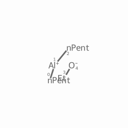 CCCC[CH2][Al+][CH2]CCCC.CC[O-]